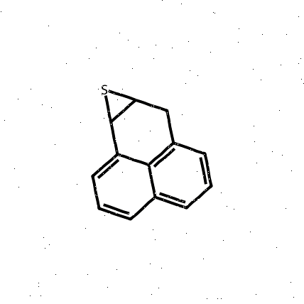 c1cc2c3c(cccc3c1)C1SC1C2